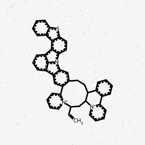 C=CC1CC2C(CCc3cc4c(cc3-c3cccc[n+]31)c1cccc3c5c6c(ccc5n4c13)sc1ccccc16)c1ccccc1-c1cccc[n+]12